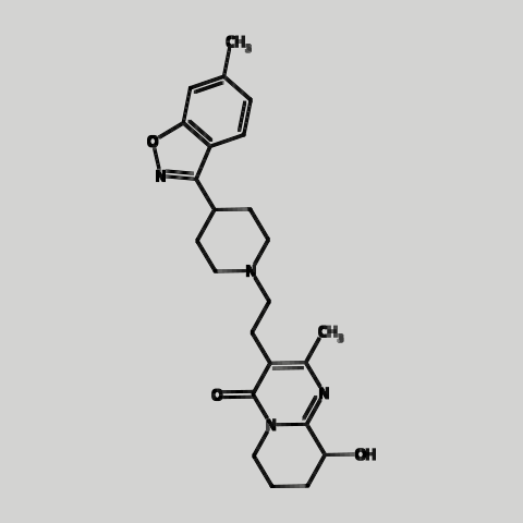 Cc1ccc2c(C3CCN(CCc4c(C)nc5n(c4=O)CCCC5O)CC3)noc2c1